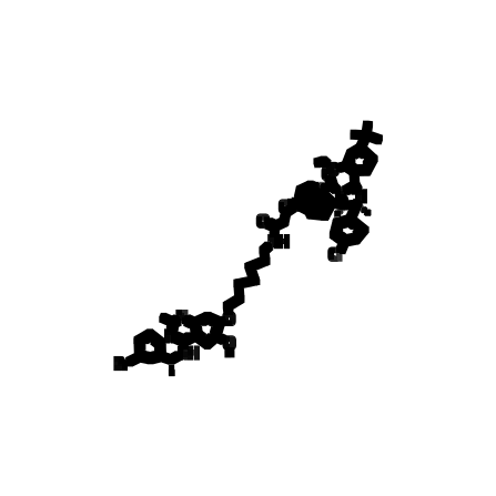 CCOc1cc(C(C)(C)C)ccc1C1=N[C@@](C)(c2ccc(Cl)cc2)[C@@](C)(c2ccc(Cl)cc2)N1C(=O)N1CCN(CCC(=O)NCCCCCCCOc2cc3nc(C)nc(N[C@H](C)c4cccc(Br)c4)c3cc2OC)CC1